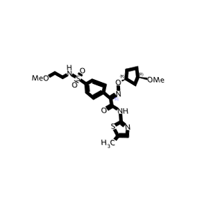 COCCNS(=O)(=O)c1ccc(/C(=N\O[C@@H]2CC[C@@H](OC)C2)C(=O)Nc2ncc(C)s2)cc1